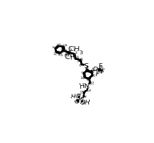 CC(C)(CCCCSc1ccc(CNCCCP(=O)(O)O)cc1OC(F)(F)F)c1ccccc1